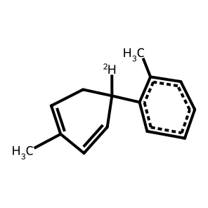 [2H]C1(c2ccccc2C)C=CC(C)=CC1